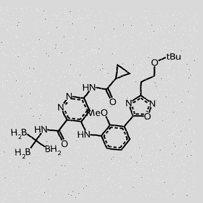 BC(B)(B)NC(=O)c1nnc(NC(=O)C2CC2)cc1Nc1cccc(-c2nc(CCOC(C)(C)C)no2)c1OC